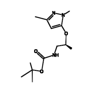 Cc1cc(O[C@@H](C)CNC(=O)OC(C)(C)C)n(C)n1